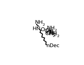 C=C.C=C.CCCCCCCCCCCCCCCCCC(=O)NCCN.NCCN